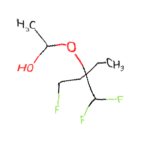 CC(O)OC(C)(CF)C(F)F